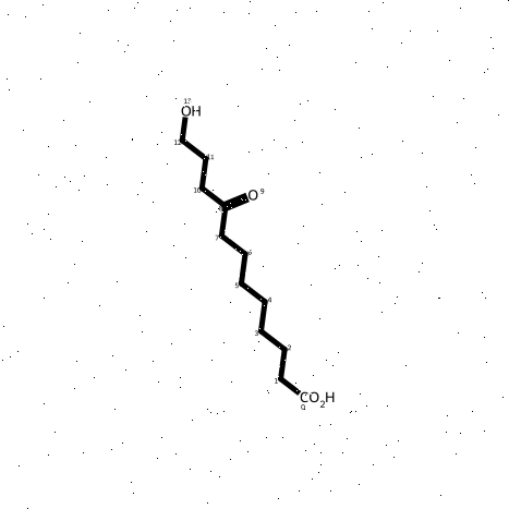 O=C(O)CCCCCCCC(=O)CCCO